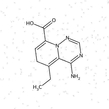 CCC1=C2C(N)=NC=NN2C(C(=O)O)=CC1